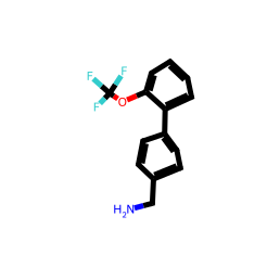 NCc1ccc(-c2ccccc2OC(F)(F)F)cc1